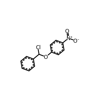 O=[N+]([O-])c1ccc(OC(Cl)c2ccccc2)cc1